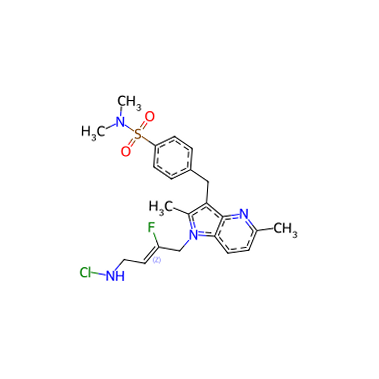 Cc1ccc2c(n1)c(Cc1ccc(S(=O)(=O)N(C)C)cc1)c(C)n2C/C(F)=C/CNCl